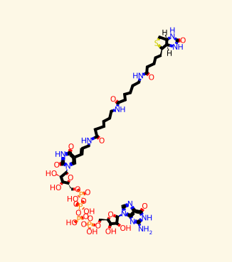 Nc1nc2c(ncn2[C@@H]2O[C@H](COP(=O)(O)OP(=O)(O)OP(=O)(O)OP(=O)(O)OC[C@H]3O[C@@H](n4cc(/C=C/CNC(=O)CCCCCNC(=O)CCCCCNC(=O)CCCC[C@H]5SC[C@H]6NC(=O)N[C@H]65)c(=O)[nH]c4=O)[C@@H](O)C3O)C(O)C2O)c(=O)[nH]1